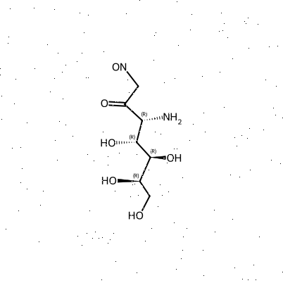 N[C@@H](C(=O)CN=O)[C@@H](O)[C@@H](O)[C@H](O)CO